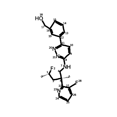 C[C@H](F)C[C@@](C)(CNc1ccc(-c2cccc(CO)c2)nn1)c1ncccc1F